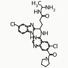 CC(N)NC(=O)CCC(Nc1ncnc2cc(C(=O)N3CCCC3)c(Cl)cc12)c1nc2cc(Cl)ccc2[nH]1